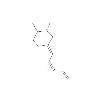 C=C/C=C\C=C1/CCC(C)N(C)C1